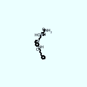 NC(=O)c1cn([C@H](O)CCCn2ccc3ccc(NC(=O)CCCCc4ccccc4)cc32)cn1